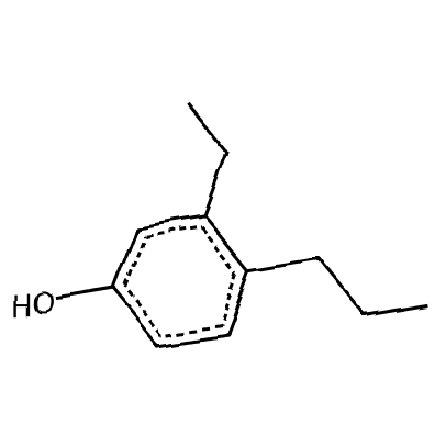 CCCc1ccc(O)cc1CC